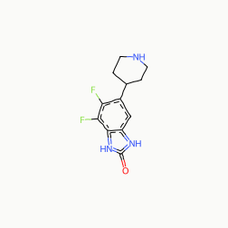 O=c1[nH]c2cc(C3CCNCC3)c(F)c(F)c2[nH]1